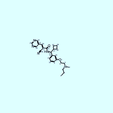 CCCN(C)CCOc1cccc(C(NC(=O)/C(C#N)=C/c2cncnc2)C2CCC2)c1